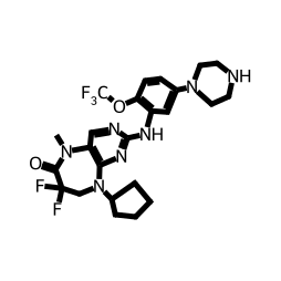 CN1C(=O)C(F)(F)CN(C2CCCC2)c2nc(Nc3cc(N4CCNCC4)ccc3OC(F)(F)F)ncc21